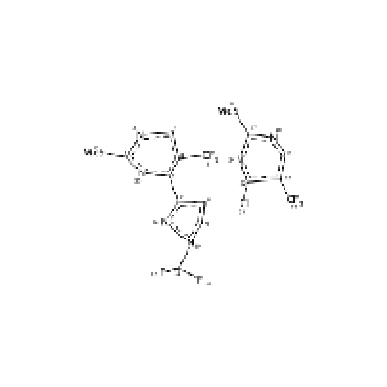 CSc1ncc(C(F)(F)F)c(-c2ccn(C(F)F)n2)n1.CSc1ncc(C(F)(F)F)c(Cl)n1